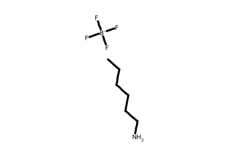 CCCCCCN.F[B-](F)(F)F